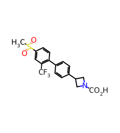 CS(=O)(=O)c1ccc(-c2ccc(C3CN(C(=O)O)C3)cc2)c(C(F)(F)F)c1